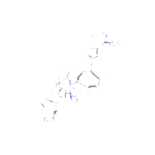 CC(=O)c1ccc(OC(C)(C)C(=O)Nc2cccc(-c3csc(C(=N)N)c3)c2)cc1